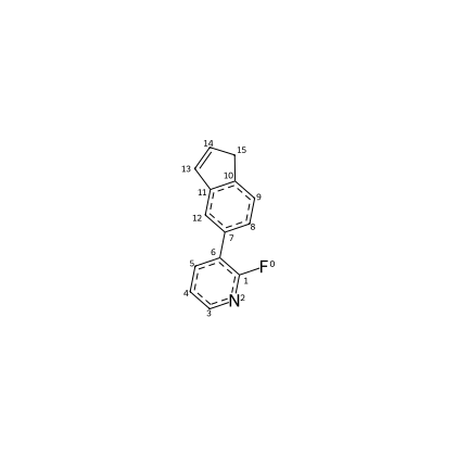 Fc1ncccc1-c1ccc2c(c1)C=CC2